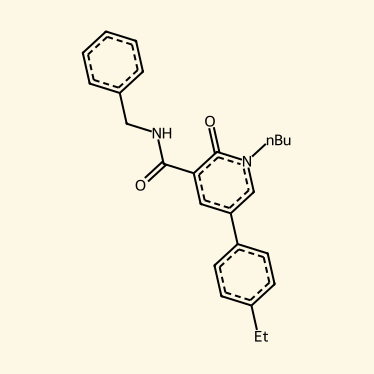 CCCCn1cc(-c2ccc(CC)cc2)cc(C(=O)NCc2ccccc2)c1=O